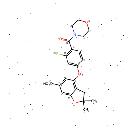 CC1(C)Cc2c(Oc3ccc(C(=O)N4CCOCC4)c(F)c3)cc(C(=O)O)cc2O1